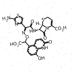 Nc1nc(/C(=N/OC(C(=O)O)c2ccc(O)c3[nH]c(=O)ccc23)C(=O)N[C@@H]2C(=O)N3C(C(=O)O)=CCS[C@H]23)cs1